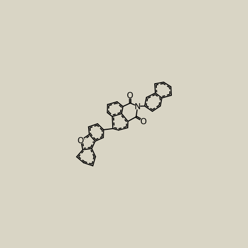 O=C1c2cccc3c(-c4ccc5oc6ccccc6c5c4)ccc(c23)C(=O)N1c1ccc2ccccc2c1